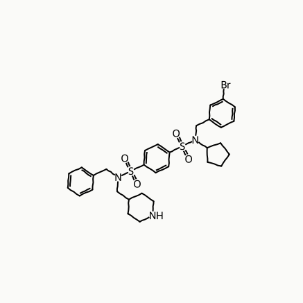 O=S(=O)(c1ccc(S(=O)(=O)N(Cc2cccc(Br)c2)C2CCCC2)cc1)N(Cc1ccccc1)CC1CCNCC1